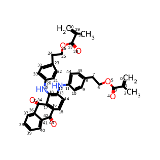 C=C(C)C(=O)OCCc1ccc(Nc2ccc3c(c2Nc2ccc(CCOC(=O)C(=C)C)cc2)C(=O)c2ccccc2C3=O)cc1